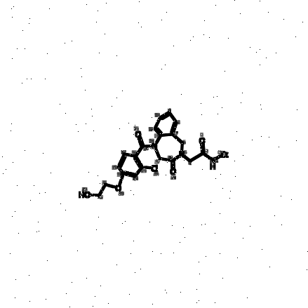 CCNC(=O)CN1Cc2ccccc2N(C(=O)c2ccc(OCCO)cc2Cl)CC1=O